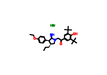 Br.CCC[C@H]1CN(CC(=O)c2cc(C(C)(C)C)c(O)c(C(C)(C)C)c2)C(=N)[C@@H]1c1ccc(OCC)cc1